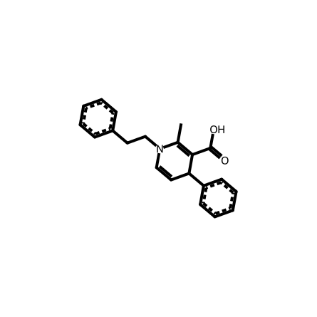 CC1=C(C(=O)O)C(c2ccccc2)C=CN1CCc1ccccc1